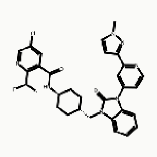 Cn1ccc(-c2cc(-n3c(=O)n(C[C@H]4CC[C@H](NC(=O)c5cc(Cl)cnc5C(F)F)CC4)c4ccccc43)ccn2)n1